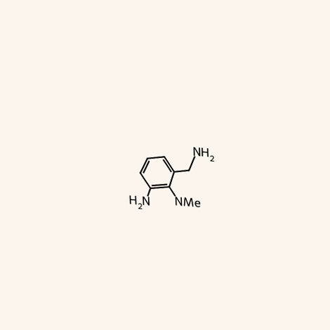 CNc1c(N)cccc1CN